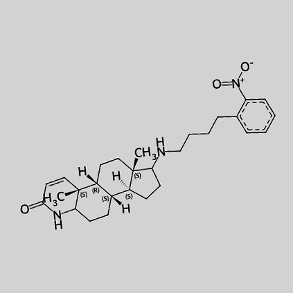 C[C@]12C=CC(=O)NC1CC[C@@H]1[C@H]2CC[C@]2(C)C(NCCCCc3ccccc3[N+](=O)[O-])CC[C@@H]12